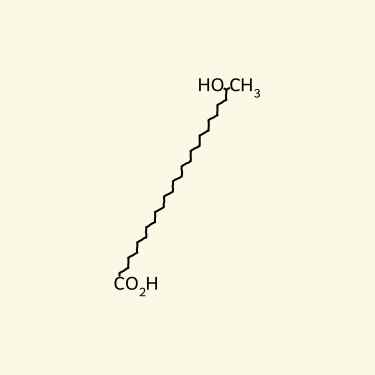 CC(O)CCCCCCCCCCCCCCCCCCCCCCCCC(=O)O